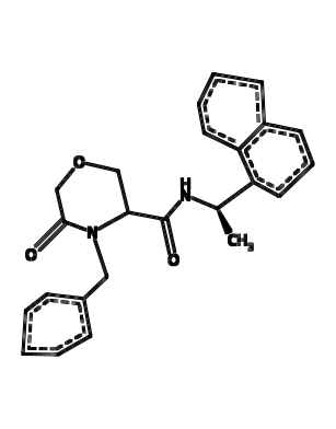 C[C@@H](NC(=O)C1COCC(=O)N1Cc1ccccc1)c1cccc2ccccc12